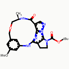 COc1cc2cc(c1)Nc1nc3c(cnn3c3c1CCN3C(=O)OC(C)(C)C)C(=O)N[C@H](C)COC2